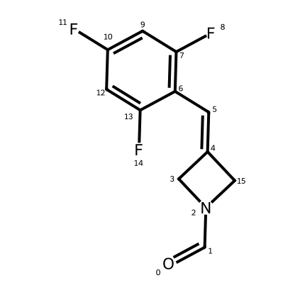 O=CN1CC(=Cc2c(F)cc(F)cc2F)C1